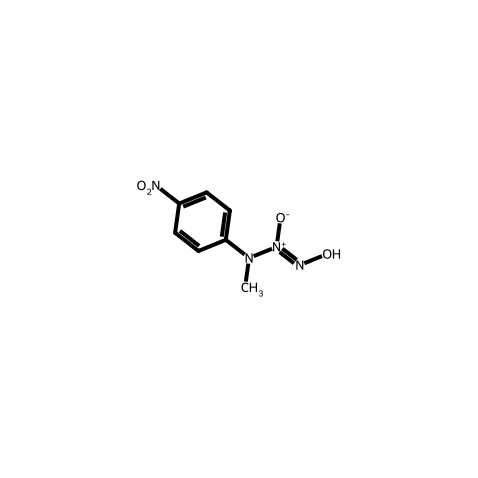 CN(c1ccc([N+](=O)[O-])cc1)/[N+]([O-])=N/O